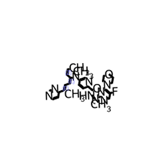 C\C=C/C(=C\C=C(/C)c1ccncn1)N(C)c1ccc(C(=O)NN(C)c2ncc(F)c(N3CCOCC3)n2)nc1